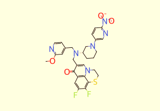 COc1cc(CN(Cc2cn3c4c(c(F)c(F)cc4c2=O)SCC3)[C@H]2CCCN(c3ccc([N+](=O)[O-])nc3)C2)ccn1